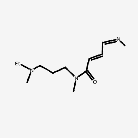 CCN(C)CCCN(C)C(=O)/C=C/C=N\C